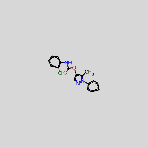 Cc1c(OC(=O)Nc2ccccc2Cl)cnn1-c1ccccc1